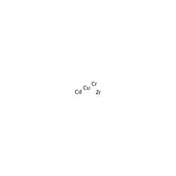 [Cd].[Cr].[Cu].[Zr]